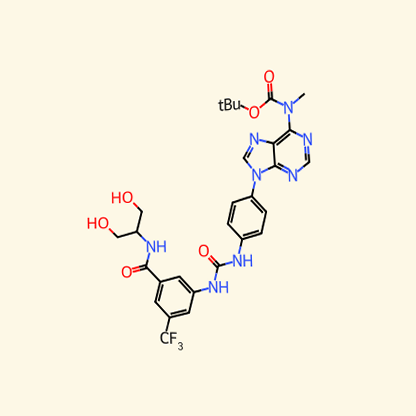 CN(C(=O)OC(C)(C)C)c1ncnc2c1ncn2-c1ccc(NC(=O)Nc2cc(C(=O)NC(CO)CO)cc(C(F)(F)F)c2)cc1